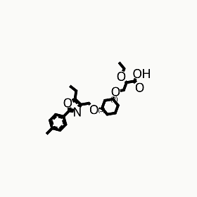 CCOC(CO[C@@H]1CCC[C@H](OCc2nc(-c3ccc(C)cc3)oc2CC)C1)C(=O)O